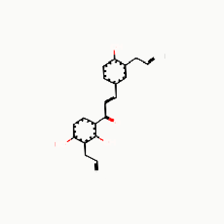 C=CCc1cc(C=CC(=O)c2ccc(O)c(CC=C)c2O)ccc1O